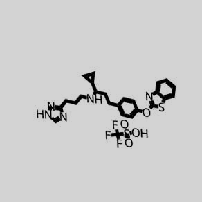 O=S(=O)(O)C(F)(F)F.c1ccc2sc(Oc3ccc(CCC(NCCCc4nc[nH]n4)C4CC4)cc3)nc2c1